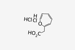 Cl.Cl.O=C(O)CC1=CC=CC=CO1